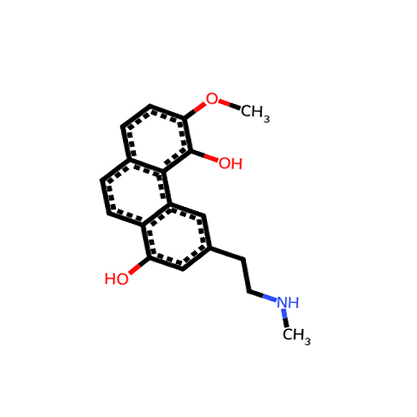 CNCCc1cc(O)c2ccc3ccc(OC)c(O)c3c2c1